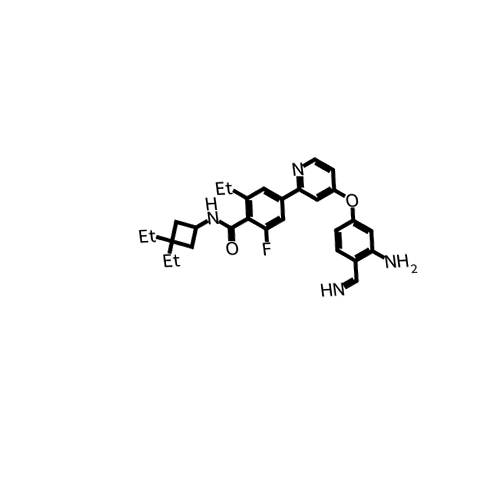 CCc1cc(-c2cc(Oc3ccc(C=N)c(N)c3)ccn2)cc(F)c1C(=O)NC1CC(CC)(CC)C1